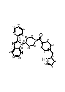 O=C(C1CCN(CC2CC=CN2)CC1)N1CCC(n2c(-c3ccccn3)nc3cccnc32)CC1